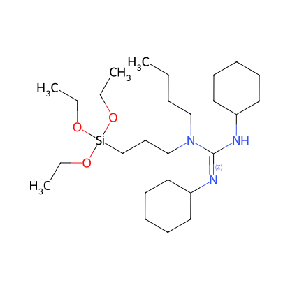 CCCCN(CCC[Si](OCC)(OCC)OCC)/C(=N\C1CCCCC1)NC1CCCCC1